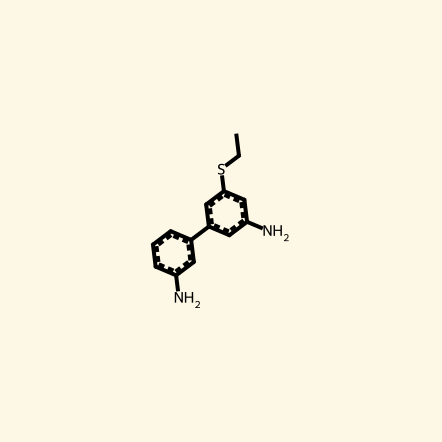 CCSc1cc(N)cc(-c2cccc(N)c2)c1